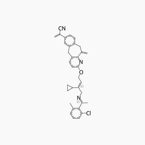 C=C(C#N)c1ccc2c(c1)Cc1ccc(OC/C=C(/C/N=C(\C)c3c(C)cccc3Cl)C3CC3)nc1C(=C)C2